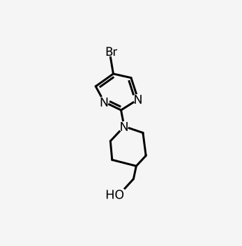 OCC1CCN(c2ncc(Br)cn2)CC1